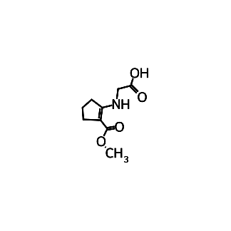 COC(=O)C1=C(NCC(=O)O)CCC1